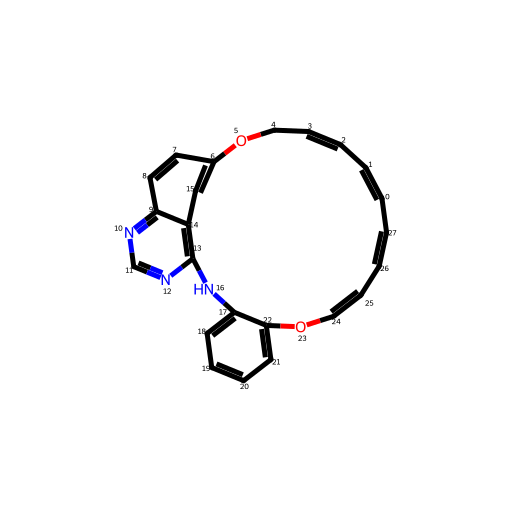 C1=C\C=C/COc2ccc3ncnc(c3c2)Nc2ccccc2O/C=C\C=C/1